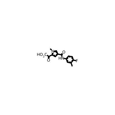 Cc1cc(NC(=O)c2cc(C(=O)C(=O)O)n(C)c2)ccc1F